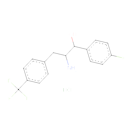 Cl.NC(Cc1ccc(C(F)(F)F)cc1)C(O)c1ccc(F)cc1